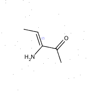 C/C=C(\N)C(C)=O